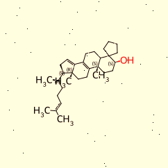 CC(C)=CCC[C@@H](C)[C@H]1CC=C2C3=C(CC[C@@]21C)[C@@]1(C)CC[C@H](O)C2(CCCC2)C1CC3